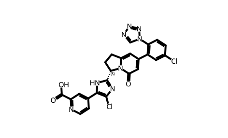 O=C(O)c1cc(-c2[nH]c([C@@H]3CCc4cc(-c5cc(Cl)ccc5-n5cnnn5)cc(=O)n43)nc2Cl)ccn1